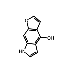 Oc1c2cc[nH]c2cc2occc12